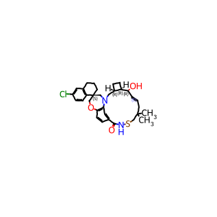 CC1(C)C/C=C/[C@H](O)[C@@H]2CC[C@H]2CN2C[C@@]3(CCCc4cc(Cl)ccc43)COc3ccc(cc32)C(=O)NSC1